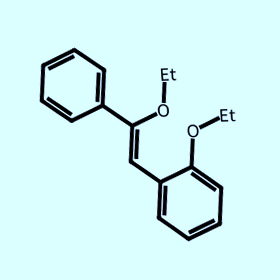 CCOC(=Cc1ccccc1OCC)c1ccccc1